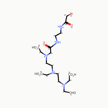 O=CCN(CCN(CCN(CC(=O)O)CC(=O)NCCNC(=O)CBr)CC(=O)O)CC(=O)O